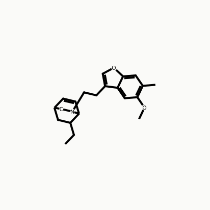 CCC1CC2C=CC1N(CCc1coc3cc(C)c(OC)cc13)C2